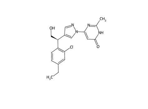 CCc1ccc([C@@H](CO)c2cnn(-c3cc(=O)[nH]c(C)n3)c2)c(Cl)c1